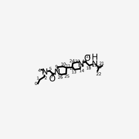 CCCN(C)CC(=O)N1CCC(C2CCN(C(=O)CNC(C)C)CC2)CC1